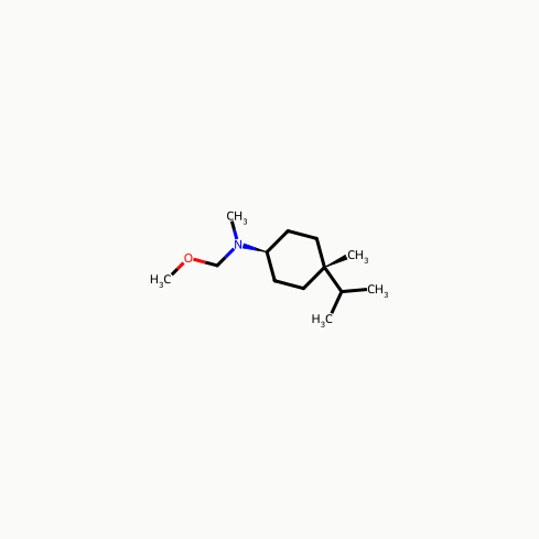 COCN(C)[C@H]1CC[C@](C)(C(C)C)CC1